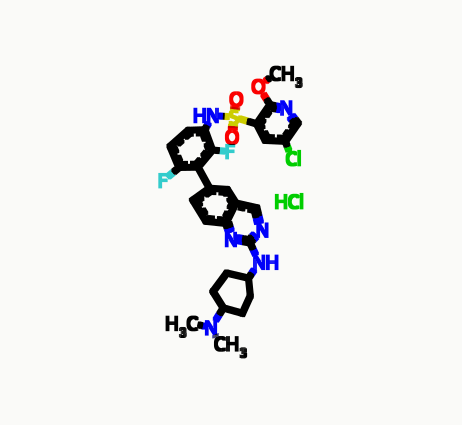 COc1ncc(Cl)cc1S(=O)(=O)Nc1ccc(F)c(-c2ccc3nc(NC4CCC(N(C)C)CC4)ncc3c2)c1F.Cl